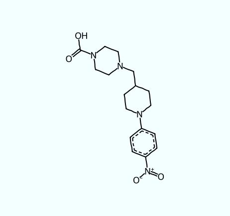 O=C(O)N1CCN(CC2CCN(c3ccc([N+](=O)[O-])cc3)CC2)CC1